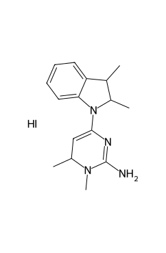 CC1c2ccccc2N(C2=CC(C)N(C)C(N)=N2)C1C.I